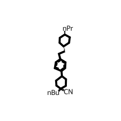 CCCCC1(C#N)CCC(c2ccc(CC[C@H]3CC[C@H](CCC)CC3)cc2)CC1